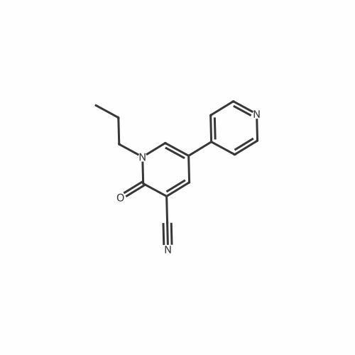 CCCn1cc(-c2ccncc2)cc(C#N)c1=O